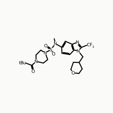 CN(c1ccc2c(c1)nc(C(F)(F)F)n2CC1CCOCC1)S(=O)(=O)N1CCN(C(=O)C(C)(C)C)CC1